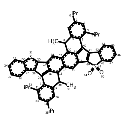 CC(C)c1cc(C(C)C)c2c(c1)C(C)c1c3c(cc4c5c6c(cc14)-c1sc4ccccc4c1C=6c1c(C(C)C)cc(C(C)C)cc1C5C)C1=C(C=32)c2ccccc2S1(=O)=O